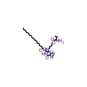 CCCCCCCCCCCCCCCC(=O)OCC1(NCCCCOC(=O)[C@@H](N)C(C)C)N=C2N=CN=C2C(=O)N1